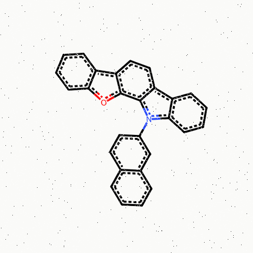 c1ccc2cc(-n3c4ccccc4c4ccc5c6ccccc6oc5c43)ccc2c1